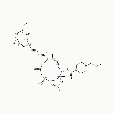 CCCN1CCN(C(=O)O[C@H]2/C=C/[C@H](C)[C@@H](/C(C)=C/C=C/[C@](C)(O)C[C@H]3O[C@@H]3[C@H](C)[C@@H](O)CC)OC(=O)C[C@H](O)CC[C@@]2(C)OC(C)=O)CC1